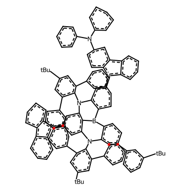 CC(C)(C)c1cccc(-c2ccc3c(c2)N(c2c(-c4ccccc4)cc(C(C)(C)C)cc2-c2ccccc2)c2cc(-n4c5ccccc5c5ccccc54)cc4c2B3c2ccc(-n3c5ccccc5c5cc(N(c6ccccc6)c6ccccc6)ccc53)cc2N4c2c(-c3ccccc3)cc(C(C)(C)C)cc2-c2ccccc2)c1